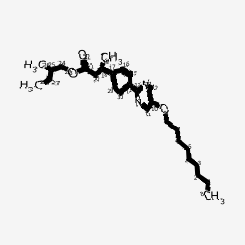 CCCCCCCCCOc1cnc(-c2ccc(C(C)CC(=O)OCC(C)CC)cc2)nc1